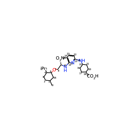 CC1CCC(C(C)C)C(OCCNc2nc(NC3CCC(C(=O)O)CC3)ccc2[N+](=O)[O-])C1